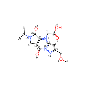 COCc1cc2n(CC(=O)O)c3c(c(=O)n2n1)CN(C(C)C)C3=O